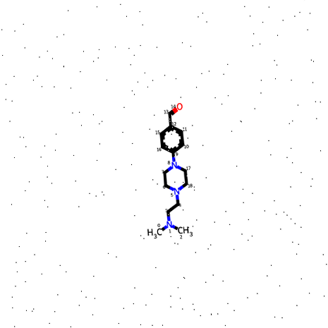 CN(C)CCN1CCN(c2ccc(C=O)cc2)CC1